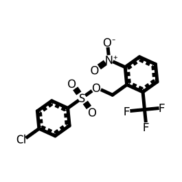 O=[N+]([O-])c1cccc(C(F)(F)F)c1COS(=O)(=O)c1ccc(Cl)cc1